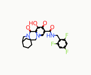 O=C(NCc1c(F)cc(F)cc1F)c1cn2c(c(O)c1=O)C(=O)N1CC3CCCC1(C3)C2